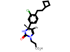 CC(C)C1=CN(CCC(=O)O)C(=O)N[C@]1(C)c1ccc(CCC2CCC2)c(Cl)c1